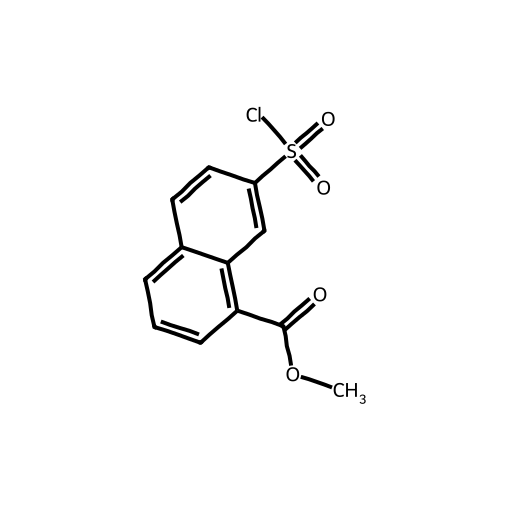 COC(=O)c1cccc2ccc(S(=O)(=O)Cl)cc12